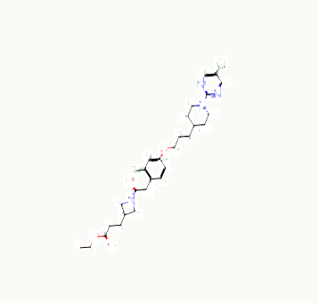 CCOC(=O)CCC1CN(C(=O)Cc2ccc(OCCCC3CCN(c4ncc(Cl)cn4)CC3)cc2F)C1